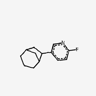 Fc1ccc(C2CC3CCCC2C3)cn1